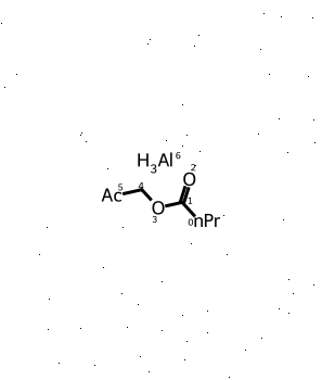 CCCC(=O)OCC(C)=O.[AlH3]